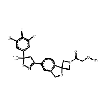 CC(C)OCC(=O)N1CC2(C1)OCc1cc(C3=NSC(c4cc(Cl)c(F)c(Cl)c4)(C(F)(F)F)C3)ccc12